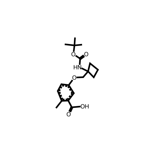 Cc1ccc(OCC2(NC(=O)OC(C)(C)C)CCC2)cc1C(=O)O